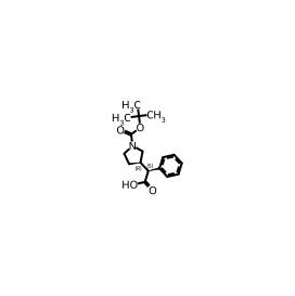 CC(C)(C)OC(=O)N1CC[C@H]([C@H](C(=O)O)c2ccccc2)C1